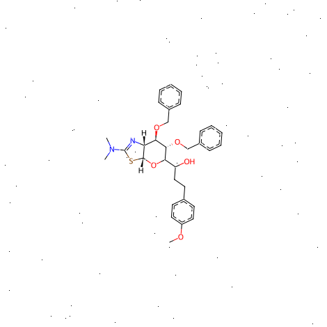 COc1ccc(CCC(O)C2O[C@@H]3SC(N(C)C)=N[C@@H]3[C@@H](OCc3ccccc3)[C@@H]2OCc2ccccc2)cc1